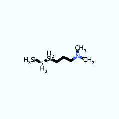 CN(C)CCC[SiH2][SiH2][SiH3]